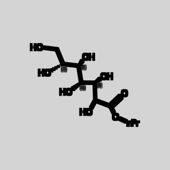 CCCOC(=O)C(O)[C@H](O)[C@@H](O)[C@H](O)[C@H](O)CO